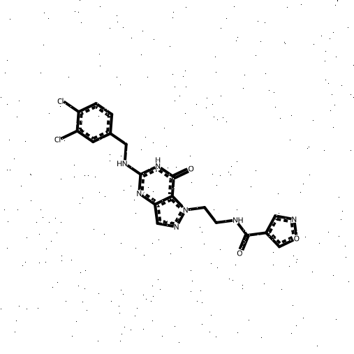 O=C(NCCn1ncc2nc(NCc3ccc(Cl)c(Cl)c3)[nH]c(=O)c21)c1cnoc1